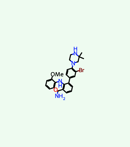 COc1ccccc1Nc1c(C(N)=O)cccc1-c1ccc(N2CCNC(C)(C)C2)c(Br)c1